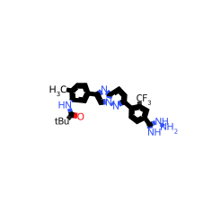 Cc1ccc(-c2cn3nc(-c4ccc(C(=N)NN)cc4C(F)(F)F)ccc3n2)cc1NC(=O)C(C)(C)C